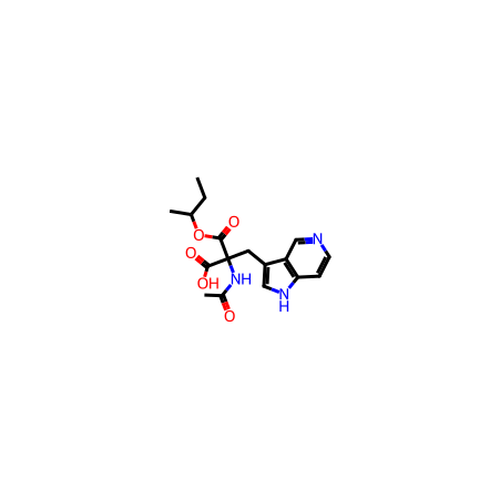 CCC(C)OC(=O)C(Cc1c[nH]c2ccncc12)(NC(C)=O)C(=O)O